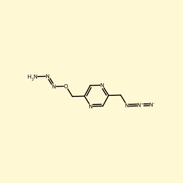 [N-]=[N+]=NCc1cnc(CON=NN)cn1